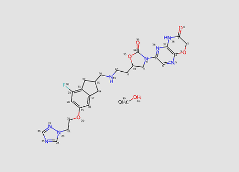 O=C1COc2ncc(N3CC(CCNCC4Cc5cc(OCCn6cncn6)cc(F)c5C4)OC3=O)nc2N1.O=CO